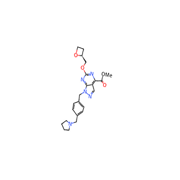 COC(=O)c1nc(OC[C@@H]2CCO2)nc2c1cnn2Cc1ccc(CN2CCCC2)cc1